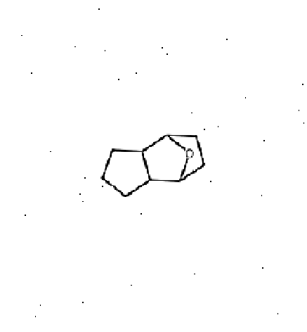 C1CC2C3CCC(O3)C2C1